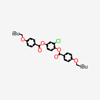 CCC(C)COc1ccc(C(=O)Oc2ccc(OC(=O)c3ccc(OCC(C)CC)cc3)c(Cl)c2)cc1